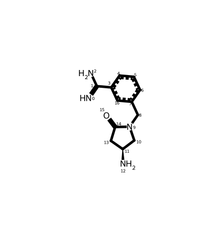 N=C(N)c1cccc(CN2C[C@@H](N)CC2=O)c1